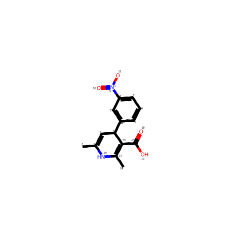 CC1=CC(c2cccc([N+](=O)[O-])c2)C(C(=O)O)=C(C)N1